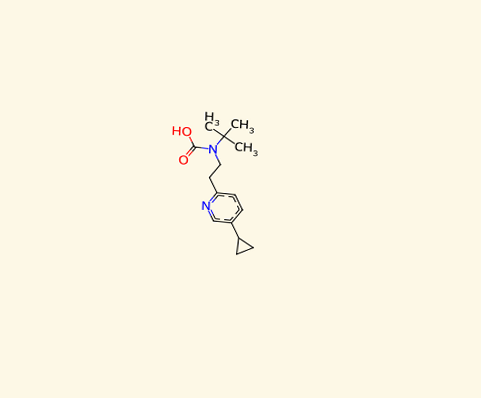 CC(C)(C)N(CCc1ccc(C2CC2)cn1)C(=O)O